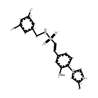 COc1cc(/C=C/S(=O)(=O)NCc2cc(F)cc(F)c2)ccc1-n1cnc(C)c1